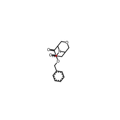 O=C1NCC2COCC1N2C(=O)OCc1ccccc1